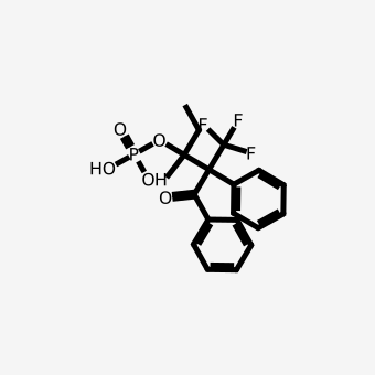 CCC(C)(OP(=O)(O)O)C(C(=O)c1ccccc1)(c1ccccc1)C(F)(F)F